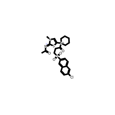 CC(=O)/N=c1\sc([N+]2(C(=O)CCS(=O)(=O)c3ccc4cc(Cl)ccc4c3)CCCCC2)cn1C